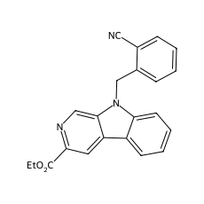 CCOC(=O)c1cc2c3ccccc3n(Cc3ccccc3C#N)c2cn1